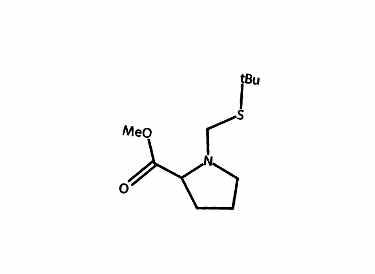 COC(=O)C1CCCN1CSC(C)(C)C